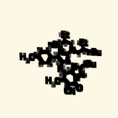 CCCCC(CC)CN(CC(CC)CCCC)c1nc(-c2ccc(C)cc2)c(/N=C2/C(C)=C(C#N)C(=O)n3nc(C(C)(C)C)nc32)s1